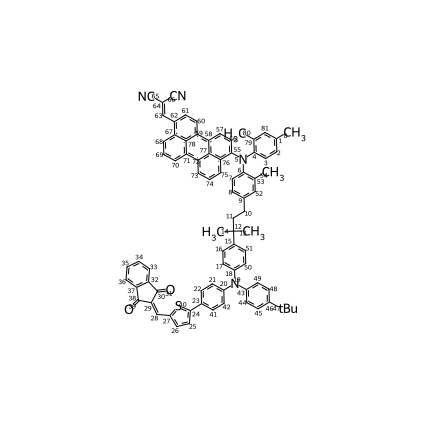 Cc1ccc(N(c2ccc(CCC(C)(C)c3ccc(N(c4ccc(-c5ccc(C=C6C(=O)c7ccccc7C6=O)s5)cc4)c4ccc(C(C)(C)C)cc4)cc3)cc2C)c2ccc3c4ccc(C=C(C#N)C#N)c5cccc(c6cccc2c63)c54)c(C)c1